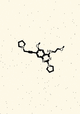 COCCNc1nc(N2CCCC2)nc2cc(C#CCN3CCCC3)c(OC)cc12